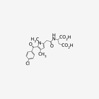 Cc1cc(CC(=O)NC(CC(=O)O)C(=O)O)n(C)c1C(=O)c1ccc(Cl)cc1